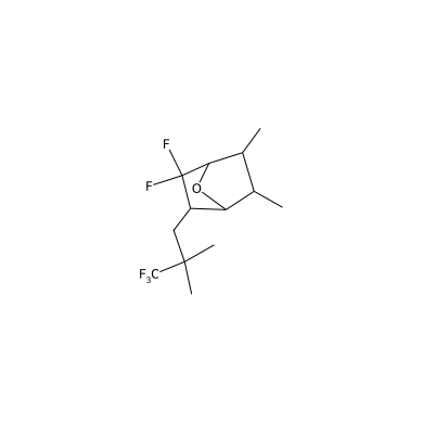 CC1C(C)C2OC1C(CC(C)(C)C(F)(F)F)C2(F)F